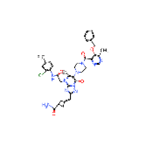 CCc1c(N2CCN(C(=O)c3ncnc(C)c3OCc3ccccc3)CC2)c(=O)n2nc(C=C3CC(C(N)=O)C3)nc2n1CC(=O)Nc1ccc(C(F)(F)F)cc1Cl